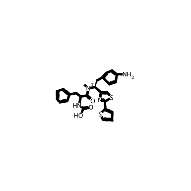 CN(C(=O)C(Cc1ccccc1)NC(=O)O)[C@@H](Cc1ccc(N)cc1)c1csc(-c2cccs2)n1